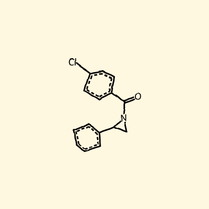 O=C(c1ccc(Cl)cc1)N1CC1c1ccccc1